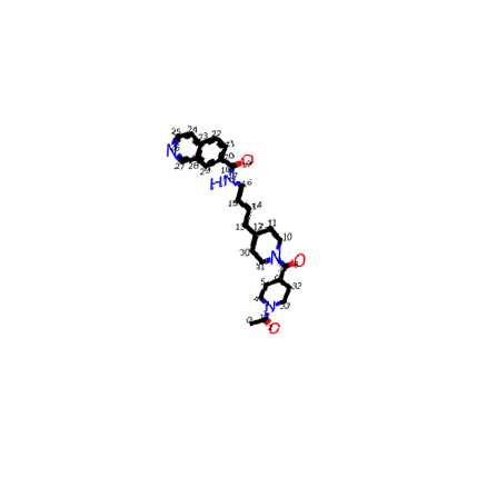 CC(=O)N1CCC(C(=O)N2CCC(CCCCNC(=O)c3ccc4ccncc4c3)CC2)CC1